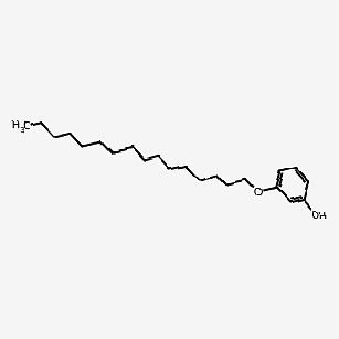 CCCCCCCCCCCCCCCCOc1cccc(O)c1